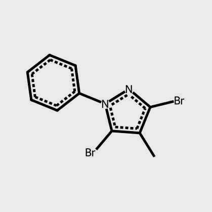 Cc1c(Br)nn(-c2ccccc2)c1Br